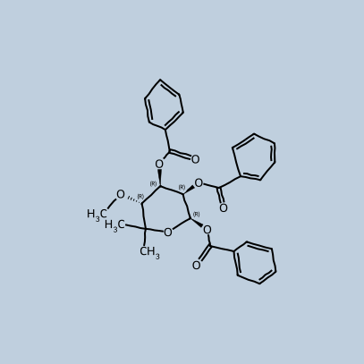 CO[C@@H]1[C@@H](OC(=O)c2ccccc2)[C@@H](OC(=O)c2ccccc2)[C@@H](OC(=O)c2ccccc2)OC1(C)C